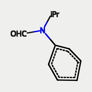 [CH2]C(C)N(C=O)c1ccccc1